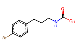 O=C(O)NCCCc1ccc(Br)cc1